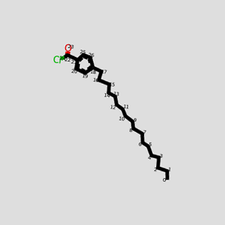 CCCCCCCCCCCCCCCCCCc1ccc(C(=O)Cl)cc1